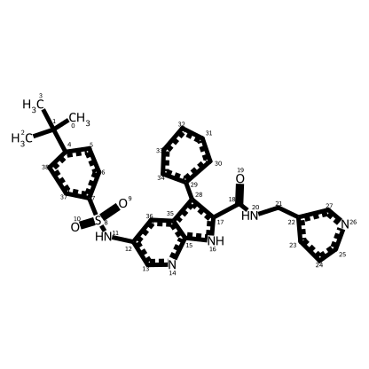 CC(C)(C)c1ccc(S(=O)(=O)Nc2cnc3[nH]c(C(=O)NCc4cccnc4)c(-c4ccccc4)c3c2)cc1